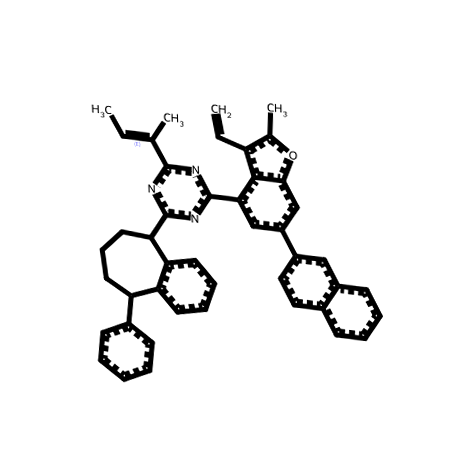 C=Cc1c(C)oc2cc(-c3ccc4ccccc4c3)cc(-c3nc(/C(C)=C/C)nc(C4CCCC(c5ccccc5)c5ccccc54)n3)c12